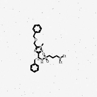 CCN(CC)CCCS(=O)(=O)N[C@H](Cc1ccccc1)c1nc(COCc2ccccc2)n(C)n1